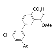 COC(F)c1cc(-c2cc(Cl)cc(C(C)=O)c2)ccc1C(=O)O